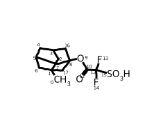 CC12CC3CC(C1)CC(OC(=O)C(F)(F)S(=O)(=O)O)(C3)C2